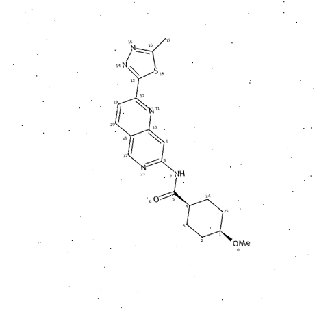 CO[C@H]1CC[C@@H](C(=O)Nc2cc3nc(-c4nnc(C)s4)ccc3cn2)CC1